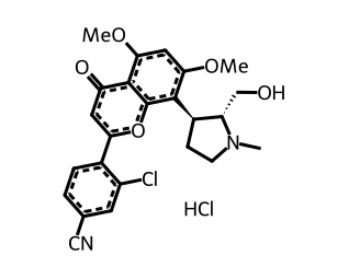 COc1cc(OC)c2c(=O)cc(-c3ccc(C#N)cc3Cl)oc2c1[C@@H]1CCN(C)[C@H]1CO.Cl